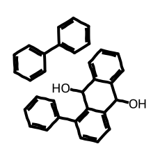 OC1c2ccccc2C(O)c2c(-c3ccccc3)cccc21.c1ccc(-c2ccccc2)cc1